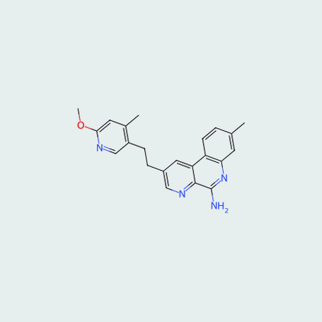 COc1cc(C)c(CCc2cnc3c(N)nc4cc(C)ccc4c3c2)cn1